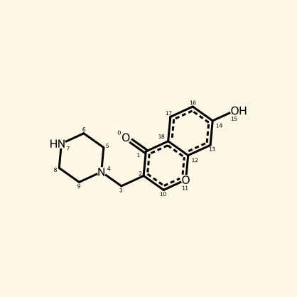 O=c1c(CN2CCNCC2)coc2cc(O)ccc12